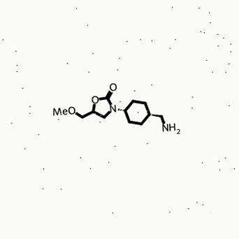 COCC1CN([C@H]2CC[C@H](CN)CC2)C(=O)O1